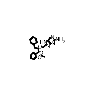 CC(=O)OC(c1ccccc1)C(Cc1ccccc1)OCc1nc2nc(N)ncc2[nH]1